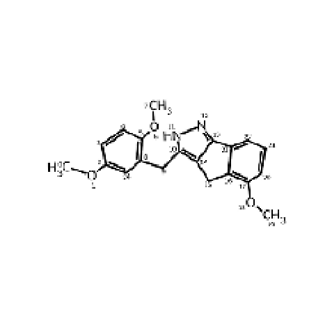 COc1ccc(OC)c(Cc2[nH]nc3c2Cc2c(OC)cccc2-3)c1